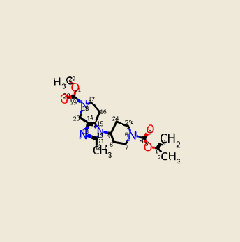 C=C(C)OC(=O)N1CCC(n2c(C)nc3c2CCN(C(=O)OC)C3)CC1